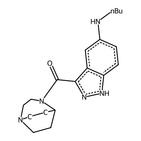 CCCCNc1ccc2[nH]nc(C(=O)N3CCN4CCC3CC4)c2c1